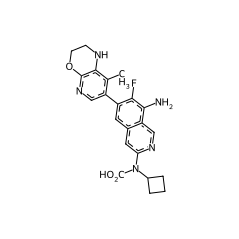 Cc1c(-c2cc3cc(N(C(=O)O)C4CCC4)ncc3c(N)c2F)cnc2c1NCCO2